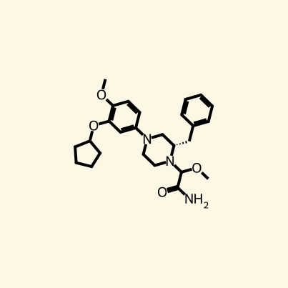 COc1ccc(N2CCN(C(OC)C(N)=O)[C@@H](Cc3ccccc3)C2)cc1OC1CCCC1